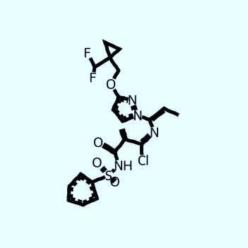 C=C(C(=O)NS(=O)(=O)c1ccccc1)/C(Cl)=N\C(=C/C)n1ccc(OCC2(C(F)F)CC2)n1